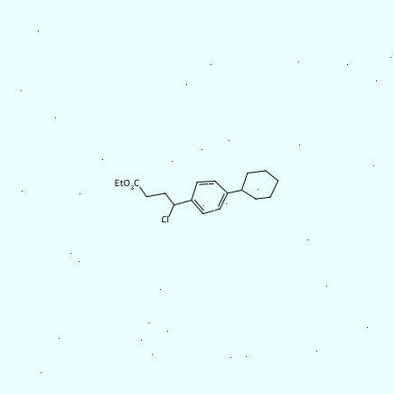 CCOC(=O)CCC(Cl)c1ccc(C2CCCCC2)cc1